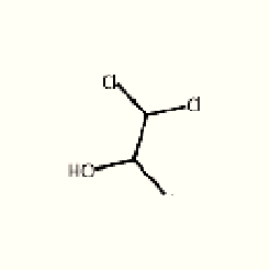 [CH2]C(O)C(Cl)Cl